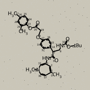 CC1=CC(NC(=O)C(CNC(=O)OC(C)(C)C)c2ccc(OCC(=O)Oc3ccc(C)cc3C)cc2)=CN(C)C=C1